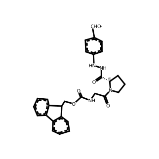 O=[C]c1ccc(NNC(=O)[C@@H]2CCCN2C(=O)CNC(=O)OCC2c3ccccc3-c3ccccc32)cc1